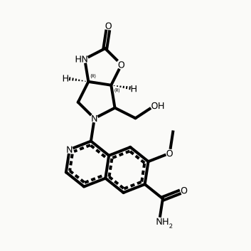 COc1cc2c(N3C[C@H]4NC(=O)O[C@H]4C3CO)nccc2cc1C(N)=O